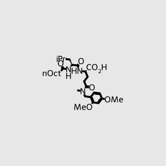 CCCCCCCCC(=O)N[C@@H](CC(C)C)C(=O)N[C@@H](CCC(=O)N(C)Cc1ccc(OC)cc1OC)C(=O)O